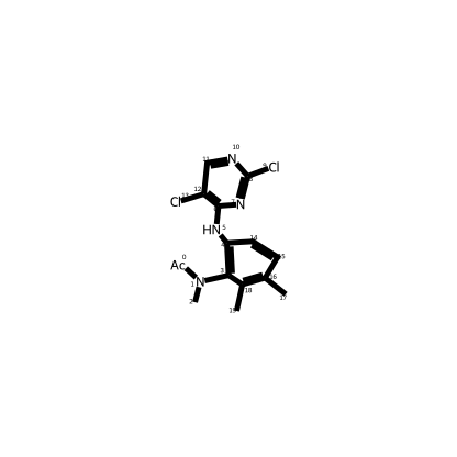 CC(=O)N(C)c1c(Nc2nc(Cl)ncc2Cl)ccc(C)c1C